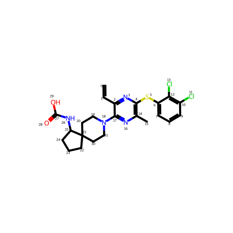 C=Cc1nc(Sc2cccc(Cl)c2Cl)c(C)nc1N1CCC2(CCCC2NC(=O)O)CC1